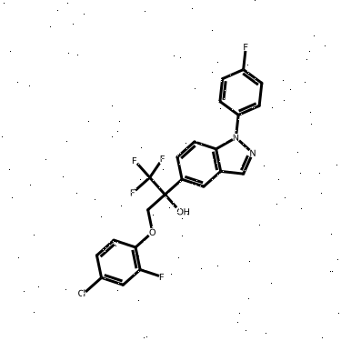 OC(COc1ccc(Cl)cc1F)(c1ccc2c(cnn2-c2ccc(F)cc2)c1)C(F)(F)F